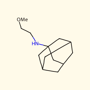 COCCNC12CC3CC(CC(C3)C1)C2